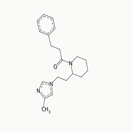 Cc1cn(CCC2CCCCN2C(=O)CCc2ccccc2)cn1